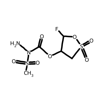 CS(=O)(=O)N(N)C(=O)OC1CS(=O)(=O)OC1F